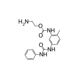 Cc1ccc(NC(=O)Nc2ccccc2)cc1NC(=O)OCCN